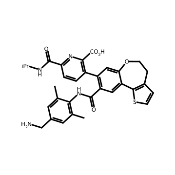 Cc1cc(CN)cc(C)c1NC(=O)c1cc2c(cc1-c1ccc(C(=O)NC(C)C)nc1C(=O)O)OCCc1ccsc1-2